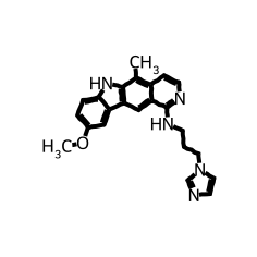 COc1ccc2[nH]c3c(C)c4ccnc(NCCCn5ccnc5)c4cc3c2c1